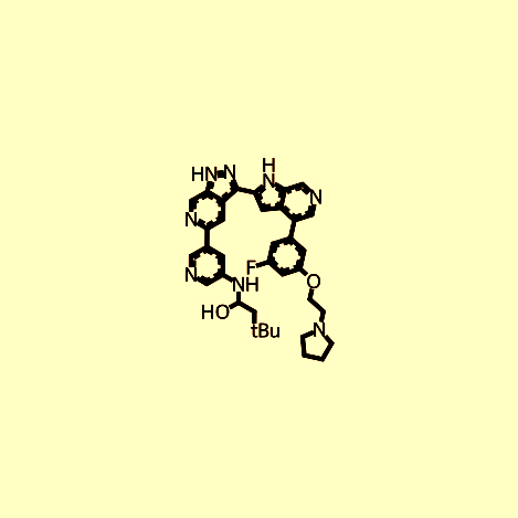 CC(C)(C)CC(O)Nc1cncc(-c2cc3c(-c4cc5c(-c6cc(F)cc(OCCN7CCCC7)c6)cncc5[nH]4)n[nH]c3cn2)c1